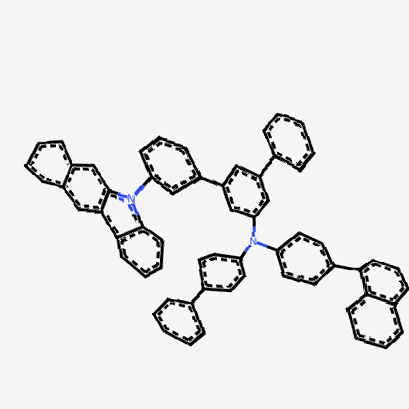 c1ccc(-c2ccc(N(c3ccc(-c4cccc5ccccc45)cc3)c3cc(-c4ccccc4)cc(-c4cccc(-n5c6ccccc6c6cc7ccccc7cc65)c4)c3)cc2)cc1